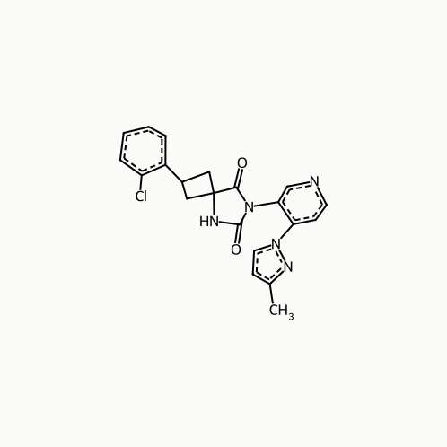 Cc1ccn(-c2ccncc2N2C(=O)NC3(CC(c4ccccc4Cl)C3)C2=O)n1